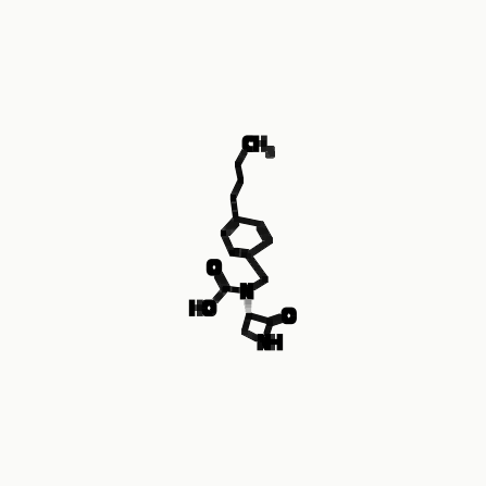 CCCCc1ccc(CN(C(=O)O)[C@H]2CNC2=O)cc1